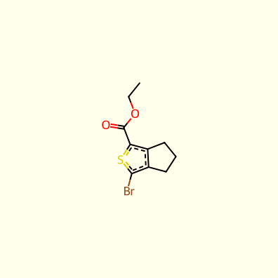 CCOC(=O)c1sc(Br)c2c1CCC2